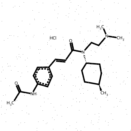 CC(=O)Nc1ccc(/C=C/C(=O)N(CCN(C)C)[C@H]2CC[C@H](C)CC2)cc1.Cl